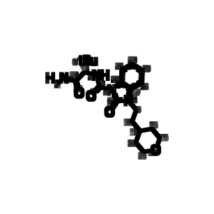 CC(C)(C)[C@H](NC(=O)n1c(=O)n(CCC2CCOCC2)c2ccccc21)C(N)=O